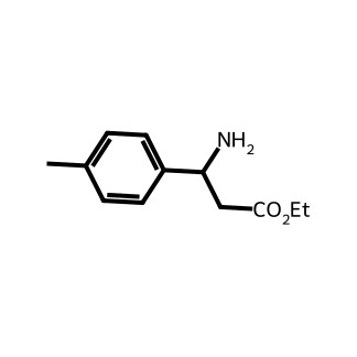 CCOC(=O)CC(N)c1ccc(C)cc1